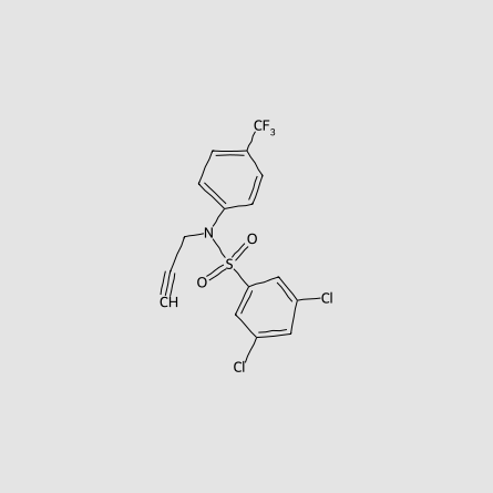 C#CCN(c1ccc(C(F)(F)F)cc1)S(=O)(=O)c1cc(Cl)cc(Cl)c1